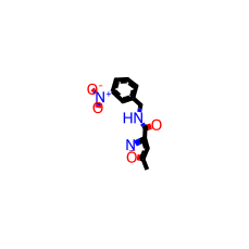 Cc1cc(C(=O)NCc2cccc([N+](=O)[O-])c2)no1